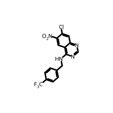 O=[N+]([O-])c1cc2c(NCc3ccc(C(F)(F)F)cc3)ncnc2cc1Cl